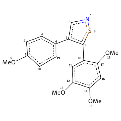 COc1ccc(-c2cnsc2-c2cc(OC)c(OC)cc2OC)cc1